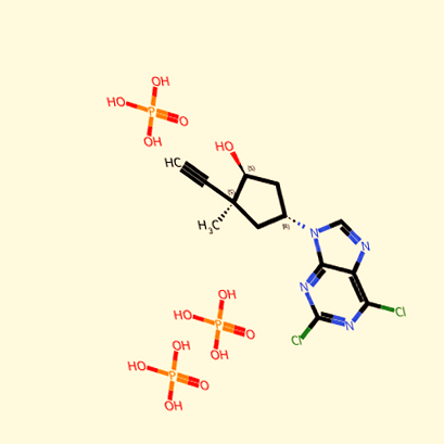 C#C[C@]1(C)C[C@@H](n2cnc3c(Cl)nc(Cl)nc32)C[C@@H]1O.O=P(O)(O)O.O=P(O)(O)O.O=P(O)(O)O